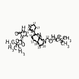 CC(C)(C)OC(=O)N1C[C@@H](c2nccn2-c2ccc3ccn(COCC[Si](C)(C)C)c3n2)NC1=O